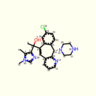 Cc1c(C(C)(O)C2=Cc3cccnc3[C@@H](N3CCNCC3)c3ccc(Cl)cc32)ncn1C